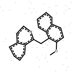 COc1ccc2ccccc2c1Cc1nccc2ccccc12